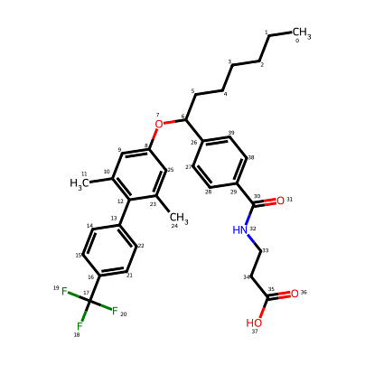 CCCCCCC(Oc1cc(C)c(-c2ccc(C(F)(F)F)cc2)c(C)c1)c1ccc(C(=O)NCCC(=O)O)cc1